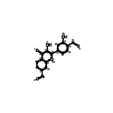 O=Nc1ccc2c(=O)c(O)c(-c3ccc(N=O)c(O)c3)oc2c1